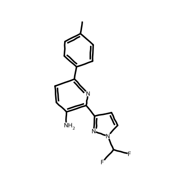 Cc1ccc(-c2ccc(N)c(-c3ccn(C(F)F)n3)n2)cc1